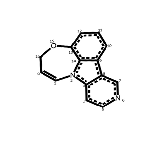 C1=Cn2c3ccncc3c3cccc(c32)OC1